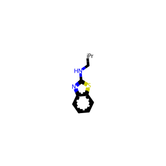 CC(C)CNc1nc2ccccc2s1